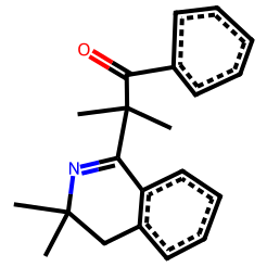 CC1(C)Cc2ccccc2C(C(C)(C)C(=O)c2ccccc2)=N1